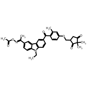 CCn1c2ccc(C(=O)c3ccc(OCC4CC(=O)C(C)(C)C4=O)cc3C)cc2c2cc(C(C)=NOC(C)=O)ccc21